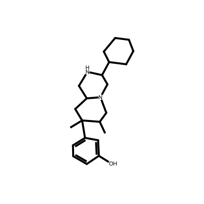 CC1CN2CC(C3CCCCC3)NCC2CC1(C)c1cccc(O)c1